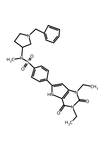 CCn1c(=O)c2[nH]c(-c3ccc(S(=O)(=O)N(C)C4CCN(Cc5ccccc5)C4)cc3)cc2n(CC)c1=O